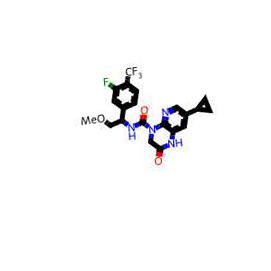 COCC(NC(=O)N1CC(=O)Nc2cc(C3CC3)cnc21)c1ccc(C(F)(F)F)c(F)c1